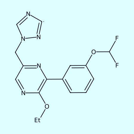 CCOc1ncc(Cn2cn[c]n2)nc1-c1cccc(OC(F)F)c1